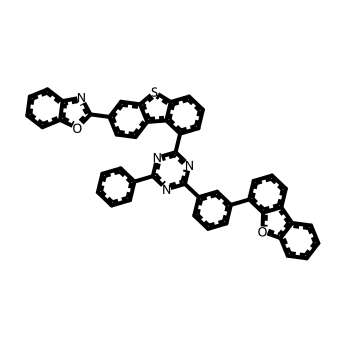 c1ccc(-c2nc(-c3cccc(-c4cccc5c4oc4ccccc45)c3)nc(-c3cccc4sc5cc(-c6nc7ccccc7o6)ccc5c34)n2)cc1